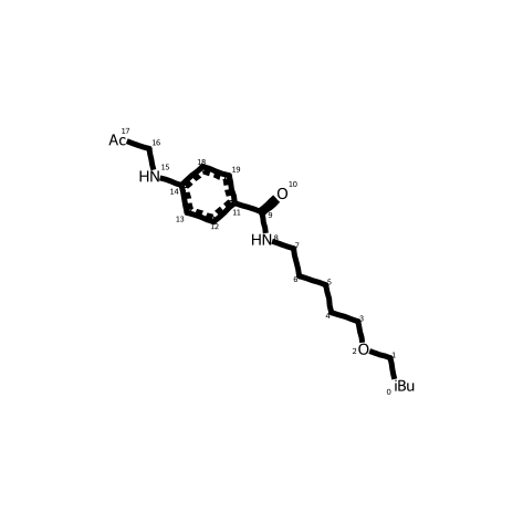 CCC(C)COCCCCCNC(=O)c1ccc(NCC(C)=O)cc1